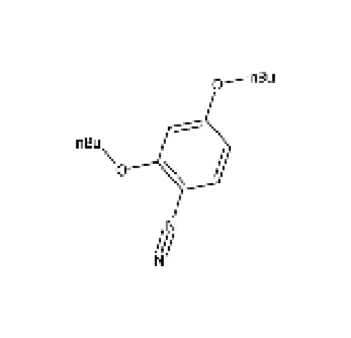 CCCCOc1ccc([N+]#N)c(OCCCC)c1